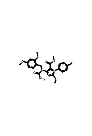 COC(=O)c1c(N(Cc2ccc(OC)cc2OC)C(N)=O)nc(OC)n1-c1ccc(F)cc1